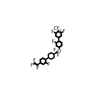 FC(F)=C(F)c1ccc(C2CCC(C(F)(F)Oc3ccc(-c4cc(F)c(C(F)(F)F)c(F)c4)c(F)c3)CC2)c(F)c1